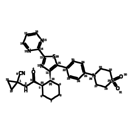 N#CC1(NC(=O)[C@@H]2CCCC[C@H]2c2nc(-c3ncccn3)sc2-c2ccc(N3CCS(=O)(=O)CC3)cc2)CC1